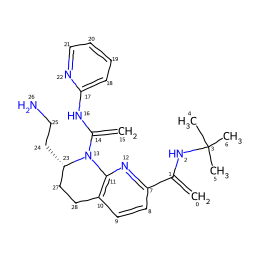 C=C(NC(C)(C)C)c1ccc2c(n1)N(C(=C)Nc1ccccn1)[C@@H](CCN)CC2